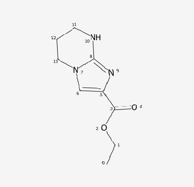 CCOC(=O)c1cn2c(n1)NCCC2